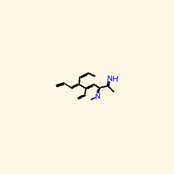 C=C/C=C(\C=C/C)C(/C=C)=C/C(=N\C)C(C)=N